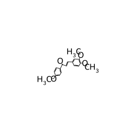 COc1ccc(C(=O)/C=C/c2ccc(OC)c(OC)c2)cc1